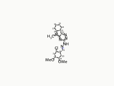 COc1cc(Cl)c(/C=N/Nc2nnc3c4ccccc4n(C)c3n2)cc1OC